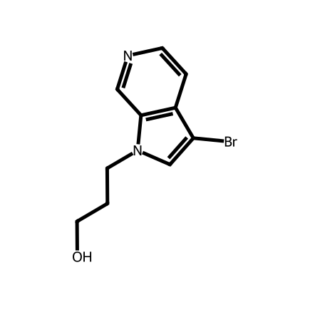 OCCCn1cc(Br)c2ccncc21